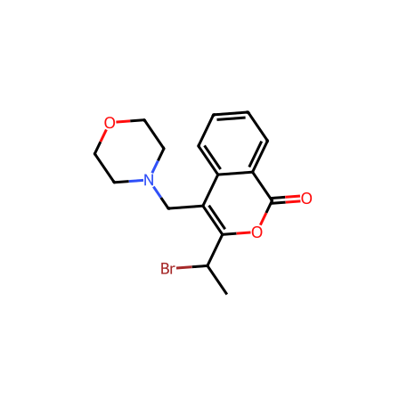 CC(Br)c1oc(=O)c2ccccc2c1CN1CCOCC1